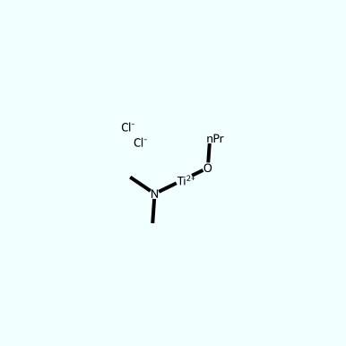 CCC[O][Ti+2][N](C)C.[Cl-].[Cl-]